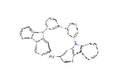 Cc1ccc2c3c(n(-c4cccc(-c5cccc(-n6c7ccccc7c7ccccc76)c5)c4)c2c1)C=CCC=C3